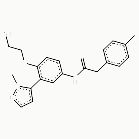 Cc1ccc(CC(=O)Nc2ccc(OCCN)c(-c3ccnn3C)c2)cc1